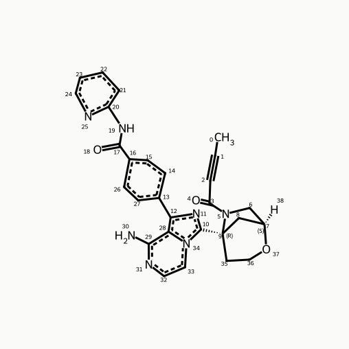 CC#CC(=O)N1C[C@@H]2C[C@@]1(c1nc(-c3ccc(C(=O)Nc4ccccn4)cc3)c3c(N)nccn13)CCO2